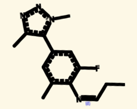 CC/C=N\c1c(C)cc(-c2c(C)nnn2C)cc1F